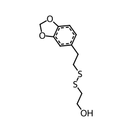 OCCSSCCc1ccc2c(c1)OCO2